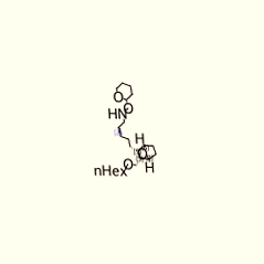 CCCCCCOC[C@@H]1[C@H](CC/C=C\CNOC2CCCCO2)[C@@H]2CC[C@H]1O2